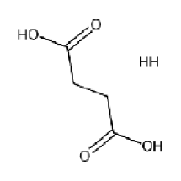 O=C(O)CCC(=O)O.[HH]